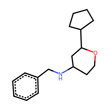 c1ccc(CNC2CCOC(C3CCCC3)C2)cc1